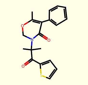 CC1=C(c2ccccc2)C(=O)N(C(C)(C)C(=O)c2cccs2)CO1